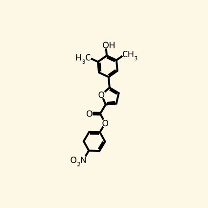 Cc1cc(-c2ccc(C(=O)OC3=CCC([N+](=O)[O-])C=C3)o2)cc(C)c1O